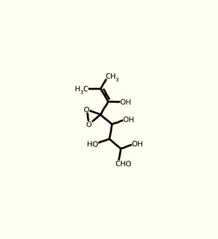 CC(C)=C(O)C1(C(O)C(O)C(O)C=O)OO1